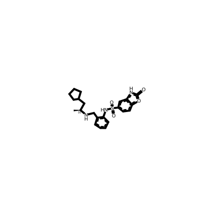 C[C@@H](CC1CCCC1)NCc1ccccc1NS(=O)(=O)c1ccc2oc(=O)[nH]c2c1